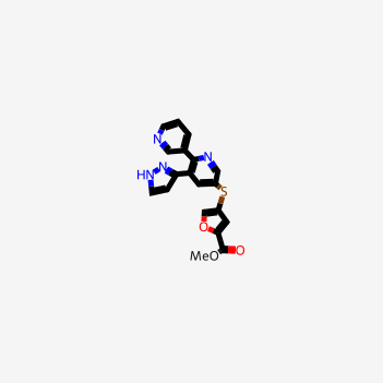 COC(=O)c1cc(Sc2cnc(-c3cccnc3)c(-c3cc[nH]n3)c2)co1